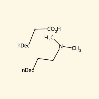 CCCCCCCCCCCC(=O)O.CCCCCCCCCCCCN(C)C